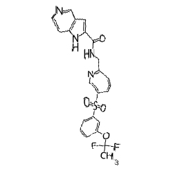 CC(F)(F)Oc1cccc(S(=O)(=O)c2ccc(CNC(=O)c3cc4cnccc4[nH]3)nc2)c1